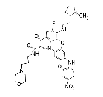 CN1CCCC1CCNc1c(F)cc2c(=O)c(C(=O)NCCCN3CCOCC3)cn3c4cc5oc6cc([N+](=O)[O-])ccc6[nH]c5cc4oc1c23